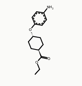 CCOC(=O)[C@H]1CC[C@H](Oc2ccc(N)cc2)CC1